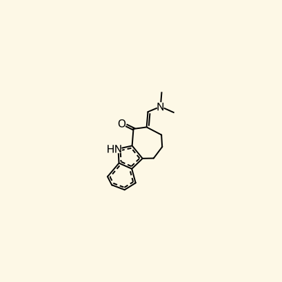 CN(C)C=C1CCCc2c([nH]c3ccccc23)C1=O